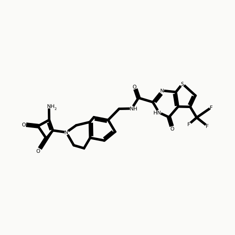 Nc1c(N2CCc3ccc(CNC(=O)c4nc5scc(C(F)(F)F)c5c(=O)[nH]4)cc3C2)c(=O)c1=O